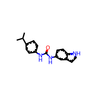 CC(C)c1ccc(NC(=O)Nc2ccc3[nH]ccc3c2)cc1